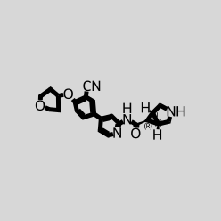 N#Cc1cc(-c2ccnc(NC(=O)[C@H]3[C@@H]4CNC[C@@H]43)c2)ccc1OC1CCOCC1